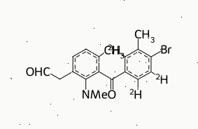 [2H]c1c([2H])c(C(=O)c2c(C)ccc(CC=O)c2NC)c([2H])c(C)c1Br